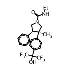 CCNC(=O)N1C[C@H](c2ccccc2)[C@](C)(c2ccc(C(O)(C(F)(F)F)C(F)(F)F)cc2)C1